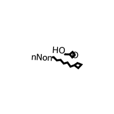 CCCCCCCCCCCCCCCC1CCC1.OCC1COC1